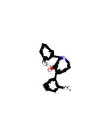 O=c1c(-c2ccccc2C(F)(F)F)cccnc1-c1ccccc1C(F)(F)F